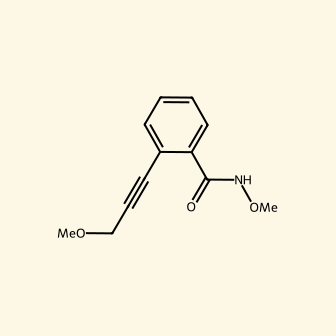 COCC#Cc1ccccc1C(=O)NOC